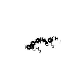 CN1CCC(N(C)[C@H]2C[C@H](Oc3ccc(-c4ccc5c6cnccc6n(C)c5c4)cn3)C2)CC1